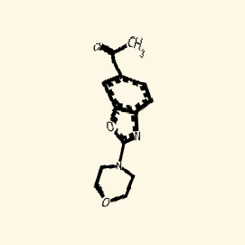 CC(=O)c1ccc2nc(N3CCOCC3)oc2c1